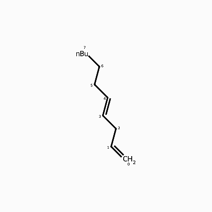 C=CCC=CCCCCCC